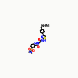 CC(=O)NCc1ccc(-c2csc(NC(=O)CNC(=O)c3cccc(S(=O)(=O)N(C)C)c3)n2)cc1